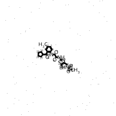 Cc1ccc(NC(=O)C(=O)Nc2nc(CNS(C)(=O)=O)c(Br)s2)c(C(=O)C2CCCC2)c1